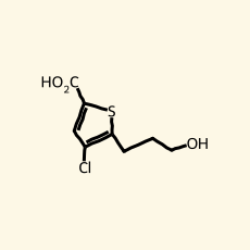 O=C(O)c1cc(Cl)c(CCCO)s1